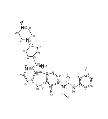 CCN(C(=O)Nc1cccc(C)c1)c1ccc(-c2nn(C3CCC(N4CCN(C)CC4)CC3)c3ncnc(N)c23)cc1F